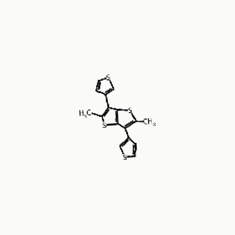 Cc1sc2c(-c3ccsc3)c(C)sc2c1-c1ccsc1